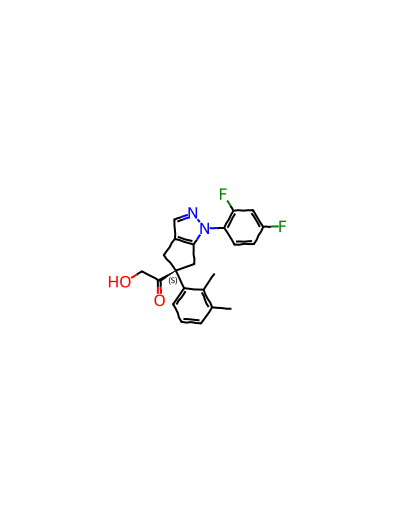 Cc1cccc([C@]2(C(=O)CO)Cc3cnn(-c4ccc(F)cc4F)c3C2)c1C